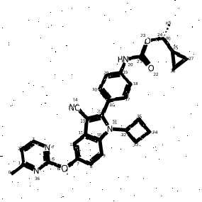 Cc1ccnc(Oc2ccc3c(c2)c(C#N)c(-c2ccc(NC(=O)O[C@H](C)C4CC4)cc2)n3C2CCC2)n1